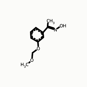 COCOc1cccc(/C(C)=N/O)c1